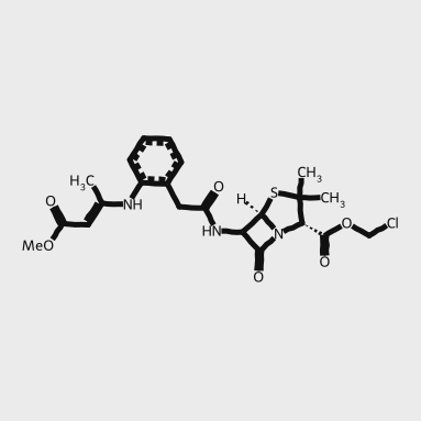 COC(=O)/C=C(\C)Nc1ccccc1CC(=O)NC1C(=O)N2[C@@H]1SC(C)(C)[C@@H]2C(=O)OCCl